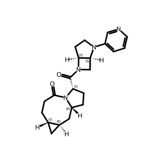 O=C([C@@H]1CC[C@@H]2C[C@H]3C[C@@H]3CCC(=O)N21)N1C[C@H]2[C@@H]1CCN2c1cccnc1